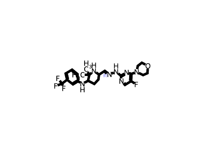 CC1(C)NC(/C=N/Nc2ncc(F)c(N3CCOCC3)n2)CCC1Nc1cccc(C(F)(F)F)c1